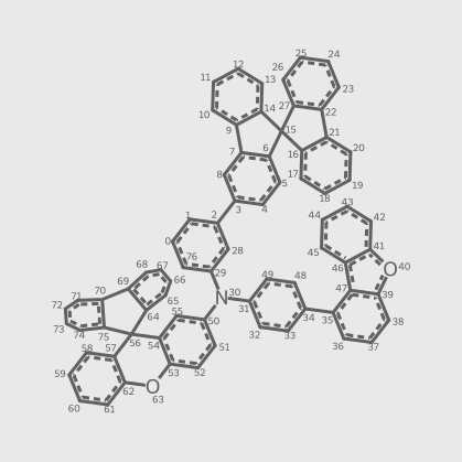 c1cc(-c2ccc3c(c2)-c2ccccc2C32c3ccccc3-c3ccccc32)cc(N(c2ccc(-c3cccc4oc5ccccc5c34)cc2)c2ccc3c(c2)C2(c4ccccc4O3)c3ccccc3-c3ccccc32)c1